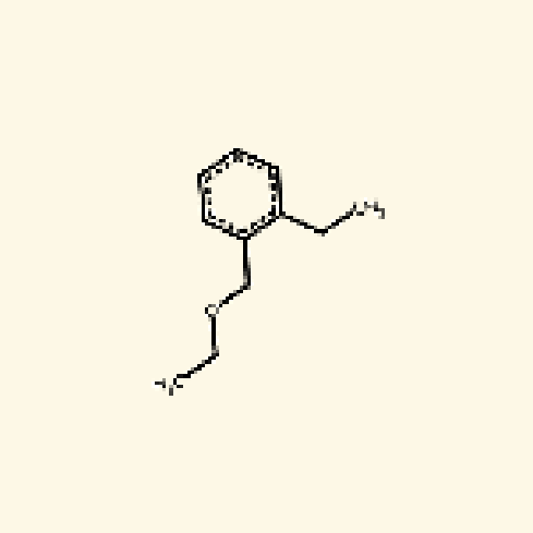 CCOCc1ccccc1CC